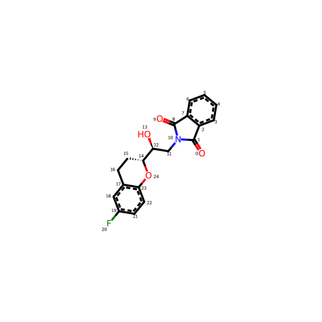 O=C1c2ccccc2C(=O)N1C[C@H](O)[C@H]1CCc2cc(F)ccc2O1